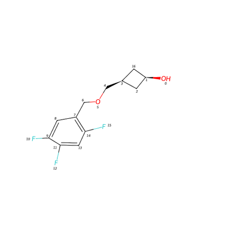 O[C@H]1C[C@@H](COCc2cc(F)c(F)cc2F)C1